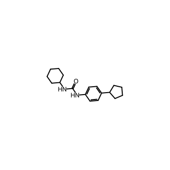 O=C(Nc1ccc(C2CCCC2)cc1)NC1CCCCC1